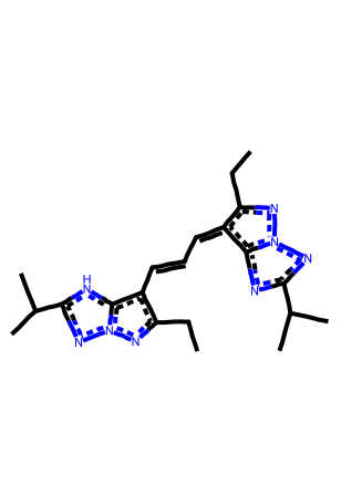 CCc1nn2nc(C(C)C)[nH]c2c1/C=C/C=c1/c(CC)nn2nc(C(C)C)nc12